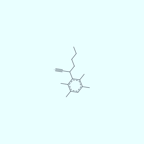 [C]#CC(CCCC)c1c(C)c(C)cc(C)c1C